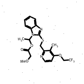 COCC(=O)OC(C)n1c(SCc2nccc(OCC(F)(F)F)c2C)nc2ccccc21